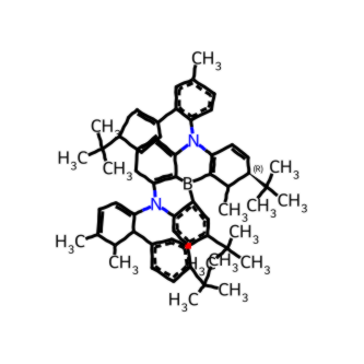 CC1=CC=C(N2C3=C4B(C5=C(C=C[C@@H](C(C)(C)C)C5C)N(c5ccc(C)cc5C5=CCC(C(C)(C)C)C=C5)C4=CCC3)c3cc(C(C)(C)C)ccc32)C(c2ccc(C(C)(C)C)cc2)C1C